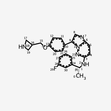 C[C@@H](Nc1ccc2ncc(-c3ccc(OCC4CNC4)cc3)n2n1)c1cccc(F)c1